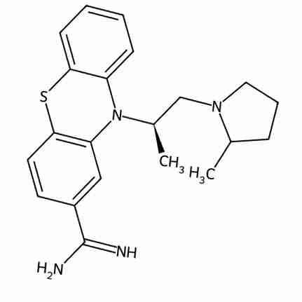 CC1CCCN1C[C@@H](C)N1c2ccccc2Sc2ccc(C(=N)N)cc21